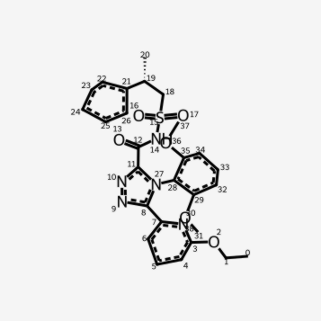 CCOc1cccc(-c2nnc(C(=O)NS(=O)(=O)C[C@@H](C)c3ccccc3)n2-c2c(OC)cccc2OC)n1